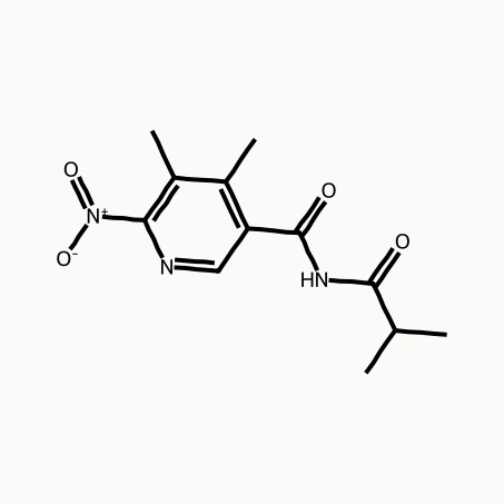 Cc1c(C(=O)NC(=O)C(C)C)cnc([N+](=O)[O-])c1C